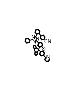 N#Cc1ccc(-c2ccccc2-c2nc(-c3ccccc3)nc(-c3ccc4c(c3)C3(c5ccc(-c6ccccn6)cc5O4)c4ccccc4-c4ccccc43)n2)cc1